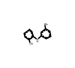 CC(C)(C)c1cccc(Nc2ccccc2C#N)c1